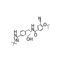 CC(C)Oc1ccc(C(=O)N[C@H](CCO)Cc2ccc(-c3nc(C(C)(C)C)c[nH]3)cc2)cc1C#N